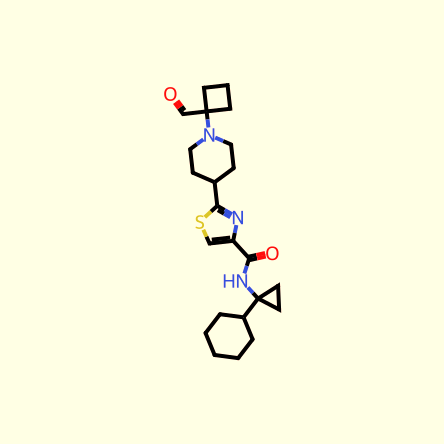 O=CC1(N2CCC(c3nc(C(=O)NC4(C5CCCCC5)CC4)cs3)CC2)CCC1